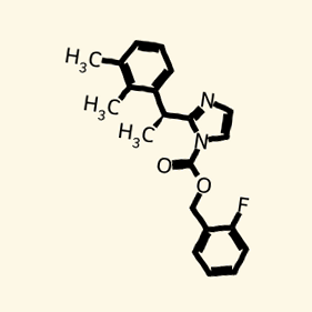 Cc1cccc([C@H](C)c2nccn2C(=O)OCc2ccccc2F)c1C